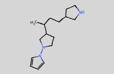 [CH2]C(CCC1CCNC1)C1CCN(n2cccc2)C1